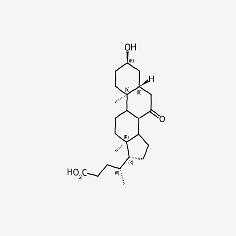 C[C@H](CCC(=O)O)[C@H]1CCC2C3C(=O)C[C@H]4C[C@H](O)CC[C@]4(C)C3CC[C@@]21C